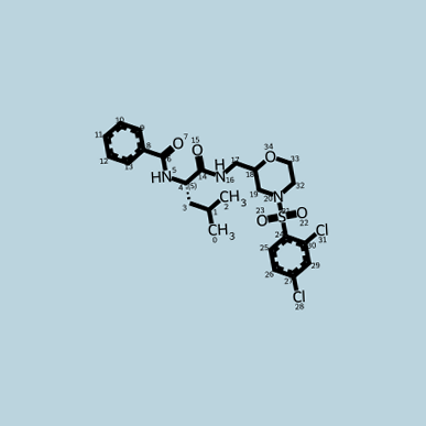 CC(C)C[C@H](NC(=O)c1ccccc1)C(=O)NCC1CN(S(=O)(=O)c2ccc(Cl)cc2Cl)CCO1